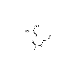 C=CCOC(C)=O.OC(=S)S